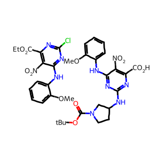 CCOC(=O)c1nc(Cl)nc(Nc2ccccc2OC)c1[N+](=O)[O-].COc1ccccc1Nc1nc(NC2CCN(C(=O)OC(C)(C)C)C2)nc(C(=O)O)c1[N+](=O)[O-]